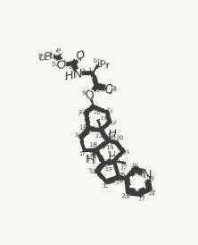 CC(C)[C@H](NC(=O)OC(C)(C)C)C(=O)O[C@H]1CC[C@@]2(C)C(=CC[C@@H]3[C@@H]2CC[C@]2(C)C(c4cccnc4)=CC[C@@H]32)C1